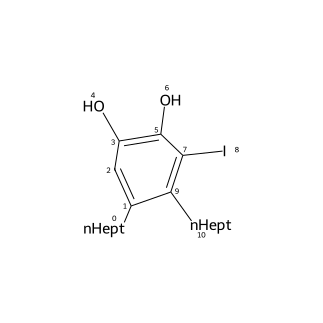 CCCCCCCc1cc(O)c(O)c(I)c1CCCCCCC